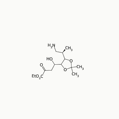 CCOC(=O)C(=O)CC(O)C1OC(C)(C)OC1[C@H](C)CN